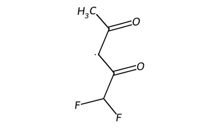 CC(=O)[CH]C(=O)C(F)F